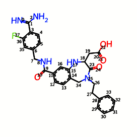 N=C(N)c1ccc(CNC(=O)c2ccc3c(c2)NC(CC(=O)O)C(=O)N(CCc2ccccc2)C3)cc1F